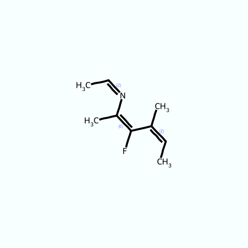 C\C=N/C(C)=C(F)\C(C)=C/C